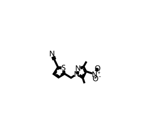 Cc1nn(Cc2ccc(C#N)s2)c(C)c1[N+](=O)[O-]